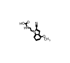 COc1cccc2c1cc(C#N)n2CCNC(=O)O